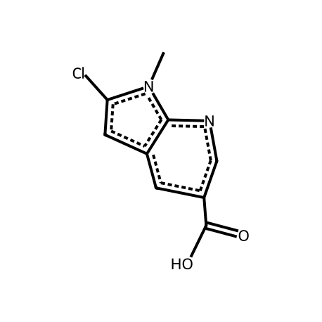 Cn1c(Cl)cc2cc(C(=O)O)cnc21